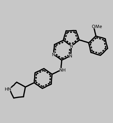 COc1ccccc1-c1ccc2cnc(Nc3ccc(C4CCNC4)cc3)nn12